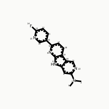 CN(C)c1cc2[nH]c3nc(-c4ccc(F)nc4)ccc3c2cn1